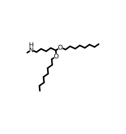 CCCCCCCCOC(CCCCNC)OCCCCCCCC